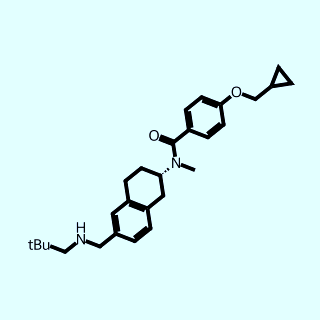 CN(C(=O)c1ccc(OCC2CC2)cc1)[C@H]1CCc2cc(CNCC(C)(C)C)ccc2C1